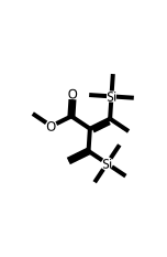 C=C(/C(C(=O)OC)=C(\C)[Si](C)(C)C)[Si](C)(C)C